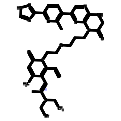 C=Cc1c(/C=C(\C)N(CC(C)C)CC(F)(F)F)c(C(F)(F)F)cc(=O)n1CCOCCCN1C(=O)CNc2ncc(-c3ccc(-c4nc[nH]n4)nc3C)nc21